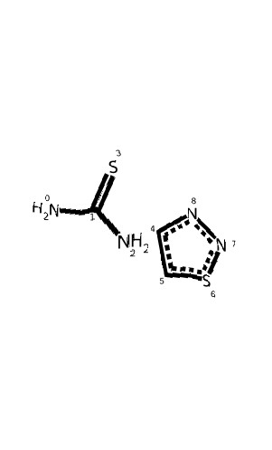 NC(N)=S.c1csnn1